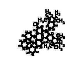 CC1(C)CC(C)(C)c2cc(N3c4cc5c(cc4B4c6cccc7c6N(c6ccccc6[Si]7(c6ccccc6)c6ccccc6)c6cc(Cl)cc3c64)C(C)(C)CC5(C)C)ccc21